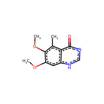 COc1cc2[nH]cnc(=O)c2c(C)c1OC